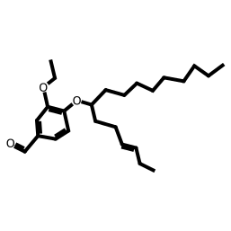 CCC=CCCC(CCCCCCCCC)Oc1ccc(C=O)cc1OCC